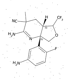 CC1(C#N)C[C@@H]2C(C(F)(F)F)OC[C@]2(c2cc(N)ccc2F)N=C1N